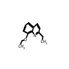 CCOc1cccc2ccc(CC)nc12